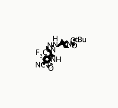 CC(C)(C)OC(=O)N1CCC2(CC2CNc2ncc(C(F)(F)F)c(-c3c[nH]c4c(P(C)(C)=O)c(C#N)ccc34)n2)C1